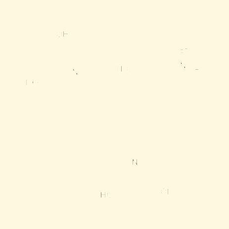 CCN(CC)c1ccc(C(c2ccc(N(CCO)CCO)cc2)c2ccc(N(CCO)CCO)cc2)c(C)c1